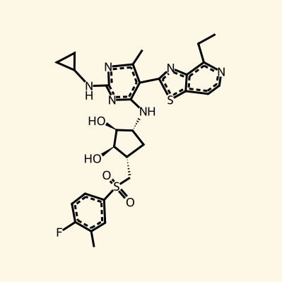 CCc1nccc2sc(-c3c(C)nc(NC4CC4)nc3N[C@@H]3C[C@H](CS(=O)(=O)c4ccc(F)c(C)c4)[C@@H](O)[C@H]3O)nc12